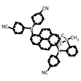 C[Si](C)(C)c1ccccc1N(c1ccc(C#N)cc1)c1ccc2ccc3c(N(c4ccc(C#N)cc4)c4ccc(C#N)cc4)ccc4ccc1c2c43